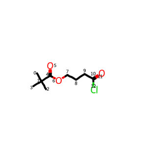 CC(C)(C)C(=O)OCCCC(=O)Cl